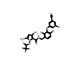 Cc1cc(C)n(OC(=O)C(F)(F)F)c1C(=O)NCc1ccc(Cl)c(Oc2cc(Cl)cc(C#N)c2)c1F